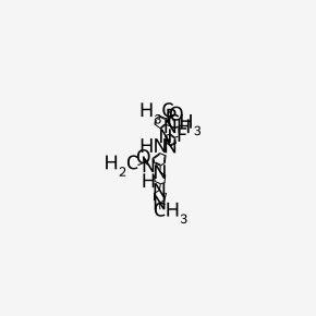 C=CC(=O)Nc1cc(Nc2ncc(F)c(Nc3ccccc3P(C)(C)=O)n2)ccc1N1CCC(N2CCN(C)CC2)CC1